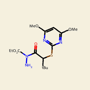 CCOC(=O)N(N)C(=O)C(Sc1nc(OC)cc(OC)n1)C(C)(C)C